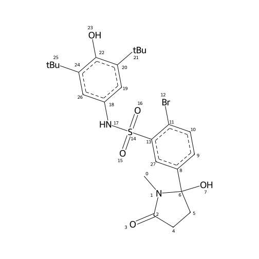 CN1C(=O)CCC1(O)c1ccc(Br)c(S(=O)(=O)Nc2cc(C(C)(C)C)c(O)c(C(C)(C)C)c2)c1